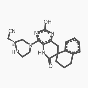 N#CC[C@H]1CN(c2nc(O)nc3c2NC(=O)C2(CCCc4ccccc42)C3)CCN1